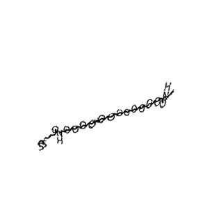 C#CCNC(=O)COCCOCCOCCOCCOCCOCCOCCOCCOCCOCCOCCOCCNC(=O)CCCC[C@@H]1CCSS1